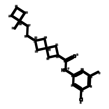 Cc1cc(Cl)cc(NC(=O)C2CC3(C2)CN(CCC2(C)CCC2)C3)c1